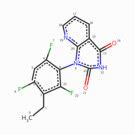 CCc1c(F)cc(F)c(-n2c(=O)[nH]c(=O)c3cccnc32)c1F